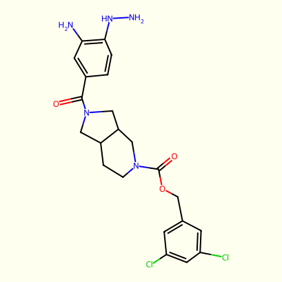 NNc1ccc(C(=O)N2CC3CCN(C(=O)OCc4cc(Cl)cc(Cl)c4)CC3C2)cc1N